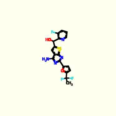 CC(F)(F)c1ccc(-c2nc(N)c3cc(C(O)c4ncccc4F)sc3n2)o1